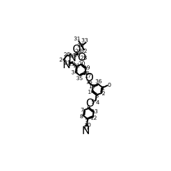 Cc1cc(COc2ccc(C#N)cc2)cc(COc2ccc(C3=NCCN3C(=O)OC(C)(C)C)cc2)c1